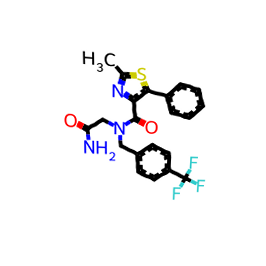 Cc1nc(C(=O)N(CC(N)=O)Cc2ccc(C(F)(F)F)cc2)c(-c2ccccc2)s1